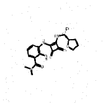 CC[C@@H](Nc1c(Nc2cccc(C(=O)N(C)C)c2O)c(=O)c1=O)C1CCCO1